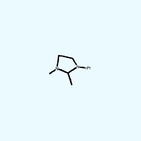 CCCN1CCN(C)C1C